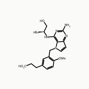 CCCC[C@@H](CO)Nc1nc(N)nc2ccn(Cc3cc(CCC(=O)O)ccc3OC)c12